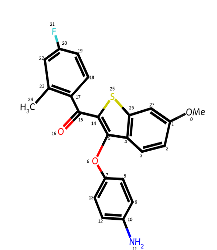 COc1ccc2c(Oc3ccc(N)cc3)c(C(=O)c3ccc(F)cc3C)sc2c1